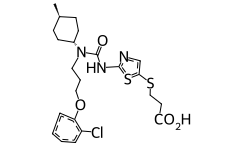 C[C@H]1CC[C@H](N(CCCOc2ccccc2Cl)C(=O)Nc2ncc(SCCC(=O)O)s2)CC1